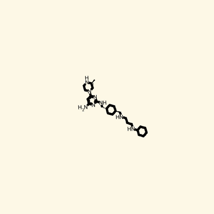 C[C@H]1CN(c2cc(N)nc(NC[C@H]3CC[C@H](CNCCCNC4CCCCC4)CC3)n2)CCN1